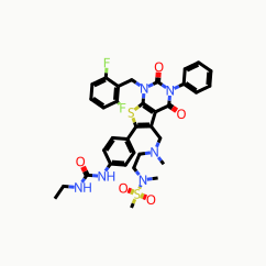 CCNC(=O)Nc1ccc(-c2sc3c(c2CN(C)CCN(C)S(C)(=O)=O)c(=O)n(-c2ccccc2)c(=O)n3Cc2c(F)cccc2F)cc1